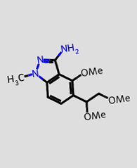 COCC(OC)c1ccc2c(c(N)nn2C)c1OC